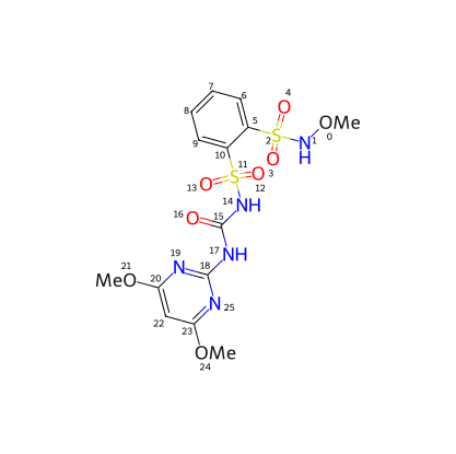 CONS(=O)(=O)c1ccccc1S(=O)(=O)NC(=O)Nc1nc(OC)cc(OC)n1